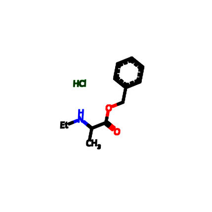 CCNC(C)C(=O)OCc1ccccc1.Cl